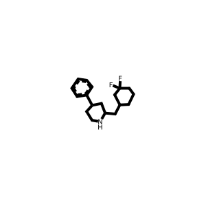 FC1(F)CCCC(CC2CC(c3ccccc3)CCN2)C1